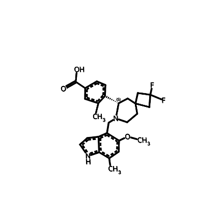 COc1cc(C)c2[nH]ccc2c1CN1CCC2(C[C@H]1c1ccc(C(=O)O)cc1C)CC(F)(F)C2